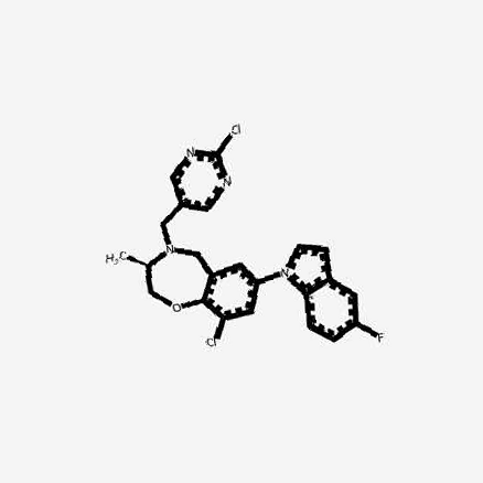 C[C@@H]1COc2c(Cl)cc(-n3ccc4cc(F)ccc43)cc2CN1Cc1cnc(Cl)nc1